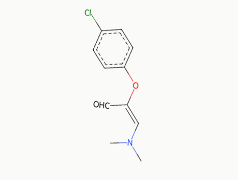 CN(C)/C=C(\C=O)Oc1ccc(Cl)cc1